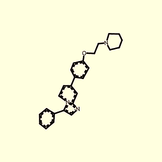 c1ccc(-c2cnc3cc(-c4ccc(OCCN5CCCCC5)cc4)ccn23)cc1